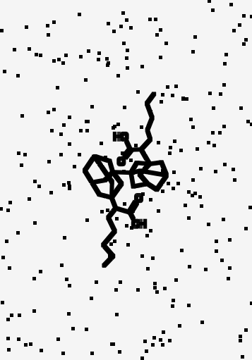 CCCCCC(C(=O)O)C12CC3CC(C1)CC(C14CC5CC(CC(C(CCCCC)C(=O)O)(C5)C1)C4)(C3)C2